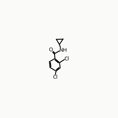 O=C(NC1CC1)c1ccc(Cl)cc1Cl